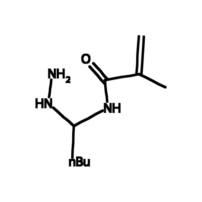 C=C(C)C(=O)NC(CCCC)NN